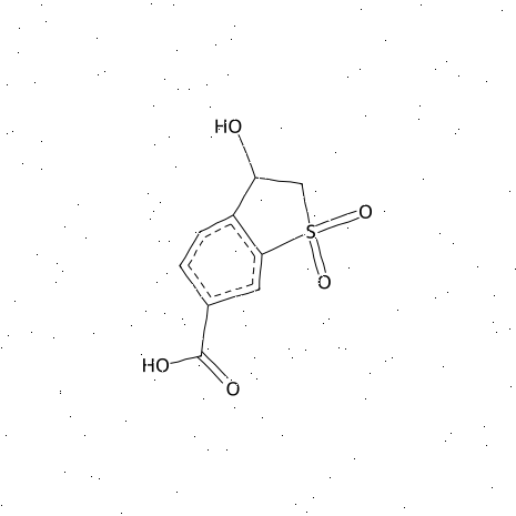 O=C(O)c1ccc2c(c1)S(=O)(=O)CC2O